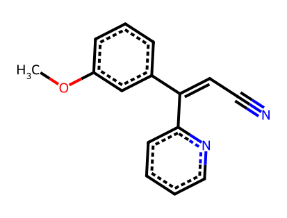 COc1cccc(/C(=C/C#N)c2ccccn2)c1